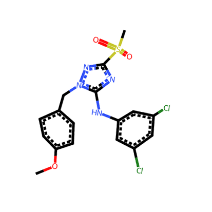 COc1ccc(Cn2nc(S(C)(=O)=O)nc2Nc2cc(Cl)cc(Cl)c2)cc1